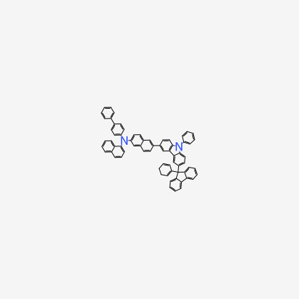 C1=CC(C2(c3ccc4c(c3)c3cc(-c5ccc6cc(N(c7ccc(-c8ccccc8)cc7)c7cccc8ccccc78)ccc6c5)ccc3n4-c3ccccc3)c3ccccc3-c3ccccc32)=CCC1